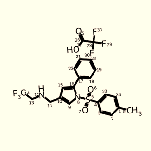 Cc1ccc(S(=O)(=O)n2cc(CNCC(F)(F)F)cc2-c2ccccc2)cc1.O=C(O)C(F)(F)F